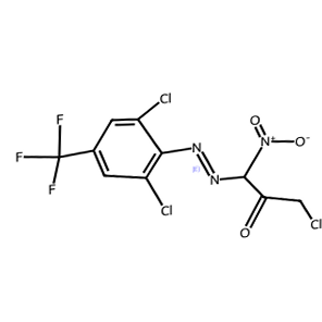 O=C(CCl)C(/N=N/c1c(Cl)cc(C(F)(F)F)cc1Cl)[N+](=O)[O-]